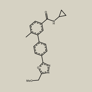 COCc1nnc(-c2ccc(-c3cc(C(=O)NC4CC4)ccc3C)cc2)o1